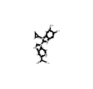 Fc1cc2nc(-n3cnc4cc(C(F)F)ncc43)n(C3CC3)c2cc1F